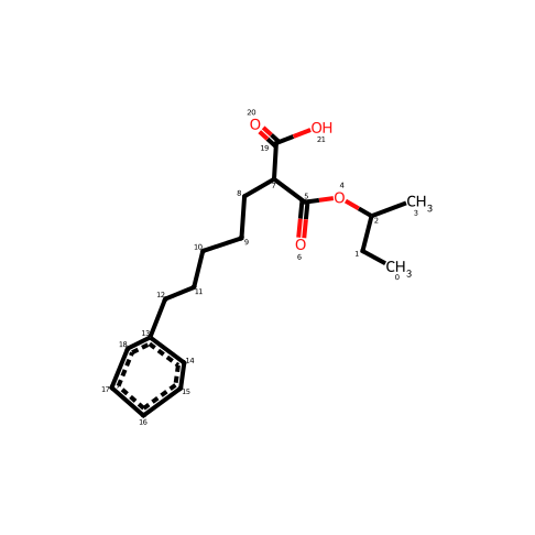 CCC(C)OC(=O)C(CCCCCc1ccccc1)C(=O)O